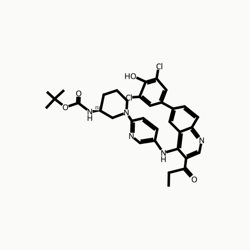 CCC(=O)c1cnc2ccc(-c3cc(Cl)c(O)c(Cl)c3)cc2c1Nc1ccc(N2CCC[C@H](NC(=O)OC(C)(C)C)C2)nc1